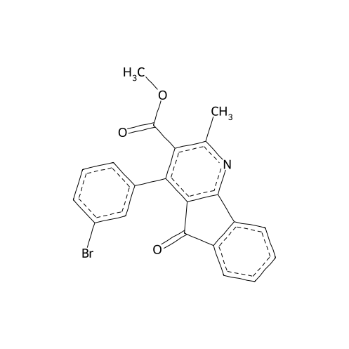 COC(=O)c1c(C)nc2c(c1-c1cccc(Br)c1)C(=O)c1ccccc1-2